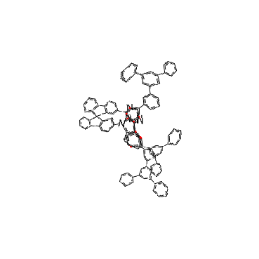 c1ccc(-c2cc(-c3ccccc3)cc(-c3cccc(-c4ccc5c(c4)c4ccccc4n5-c4ccc5c(c4)C4(c6ccccc6-c6ccc(-c7nc(-c8cccc(-c9cc(-c%10ccccc%10)cc(-c%10ccccc%10)c9)c8)nc(-c8cccc(-c9cc(-c%10ccccc%10)cc(-c%10ccccc%10)c9)c8)n7)cc64)c4ccccc4-5)c3)c2)cc1